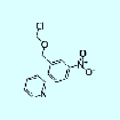 O=[N+]([O-])c1cccc(COCCl)c1.c1ccncc1